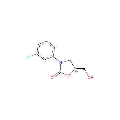 O=C1O[C@H](CO)CN1c1cccc(F)c1